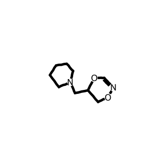 C1=NOCC(CN2CCCCC2)O1